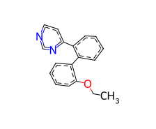 CCOc1ccccc1-c1ccccc1-c1ccncn1